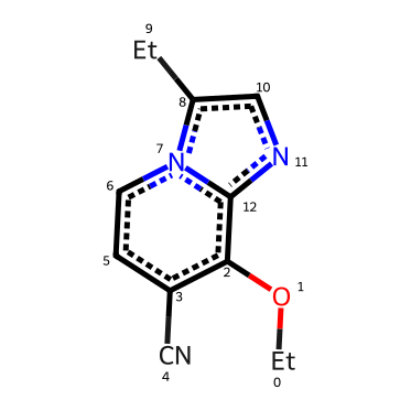 CCOc1c(C#N)ccn2c(CC)cnc12